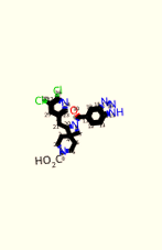 O=C(O)N1CCC2(CC1)CN(C(=O)c1ccc3[nH]nnc3c1)C2Cc1cnc(Cl)c(Cl)c1